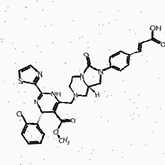 COC(=O)C1=C(CN2CCN3C(=O)N(c4ccc(/C=C/C(=O)O)cc4)C[C@@H]3C2)NC(c2nccs2)=N[C@H]1c1ccccc1Cl